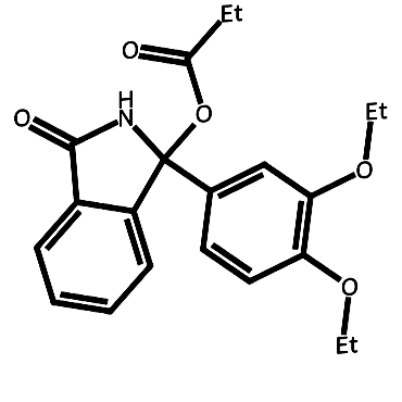 CCOc1ccc(C2(OC(=O)CC)NC(=O)c3ccccc32)cc1OCC